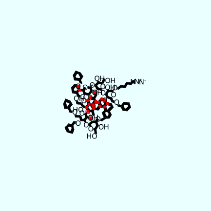 [N-]=[N+]=NCCCCCO[C@@H]1OC(COCc2ccccc2)[C@H](OCc2ccccc2)C(OC2OC(CO)C(O)C(O[C@@H]3OC(COCc4ccccc4)[C@H](OCc4ccccc4)C(OC4OC(CO)C(O)C(O[C@@H]5OC(COCc6ccccc6)[C@H](OCc6ccccc6)C(OC6OC(CO)C(O)C(OCc7ccc8ccccc8c7)C6OCc6ccccc6)C5O)C4OCc4ccccc4)C3O)C2OCc2ccccc2)C1O